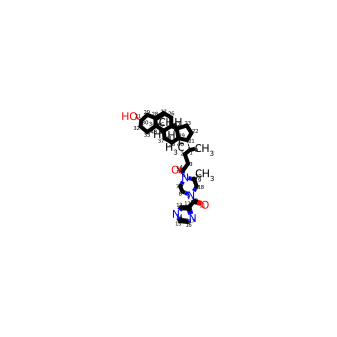 CC(CCC(=O)N1CCN(C(=O)c2cnccn2)CC1C)[C@H]1CC[C@H]2[C@@H]3CC=C4C[C@@H](O)CC[C@]4(C)[C@H]3CC[C@]12C